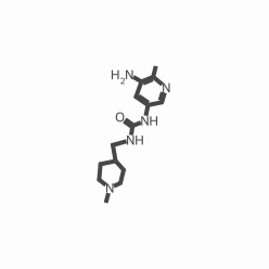 Cc1ncc(NC(=O)NCC2CCN(C)CC2)cc1N